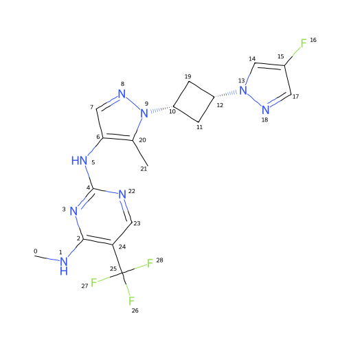 CNc1nc(Nc2cnn([C@H]3C[C@@H](n4cc(F)cn4)C3)c2C)ncc1C(F)(F)F